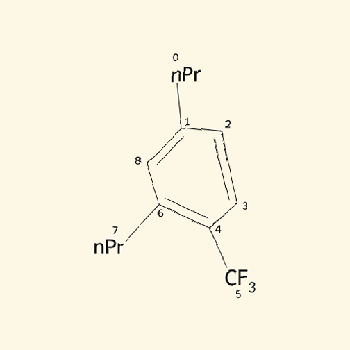 C[CH]Cc1ccc(C(F)(F)F)c(CCC)c1